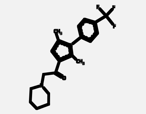 Cc1cc(C(=O)CN2CCCCC2)c(C)n1-c1ccc(C(F)(F)F)cc1